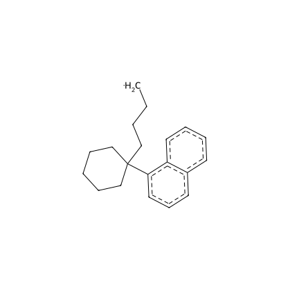 [CH2]CCCC1(c2cccc3ccccc23)CCCCC1